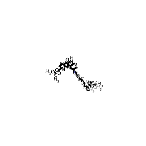 CC(C)OC(=O)c1ccc2c(n1)CC1(C2)C(=O)Nc2ncc(/C=C/COCCOCCN(C)C(=O)OC(C)(C)C)cc21